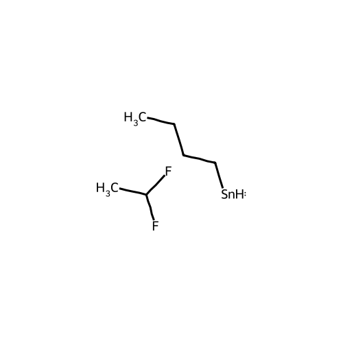 CC(F)F.CCC[CH2][SnH]